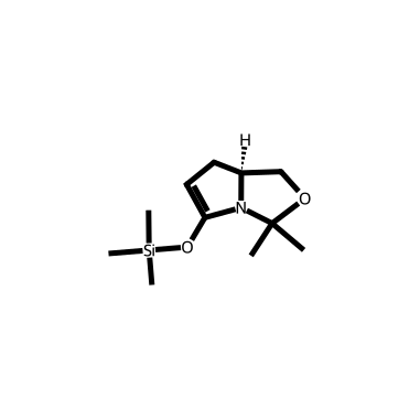 CC1(C)OC[C@@H]2CC=C(O[Si](C)(C)C)N21